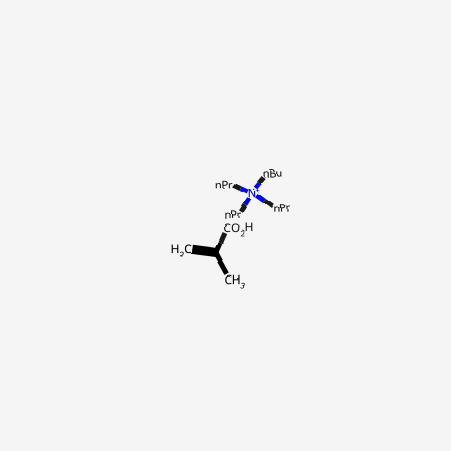 C=C(C)C(=O)O.CCCC[N+](CCC)(CCC)CCC